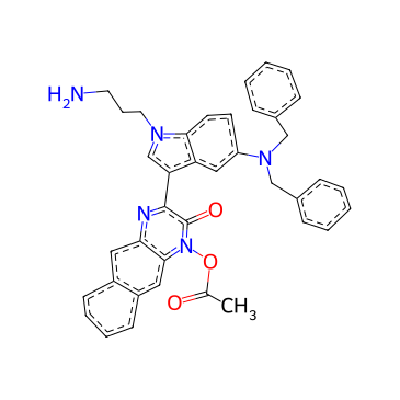 CC(=O)On1c(=O)c(-c2cn(CCCN)c3ccc(N(Cc4ccccc4)Cc4ccccc4)cc23)nc2cc3ccccc3cc21